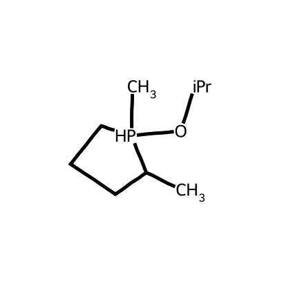 CC(C)O[PH]1(C)CCCC1C